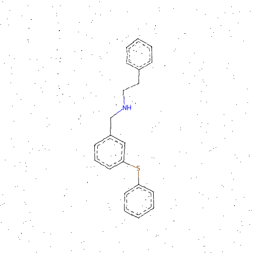 c1ccc(CCNCc2cccc(Sc3ccccc3)c2)cc1